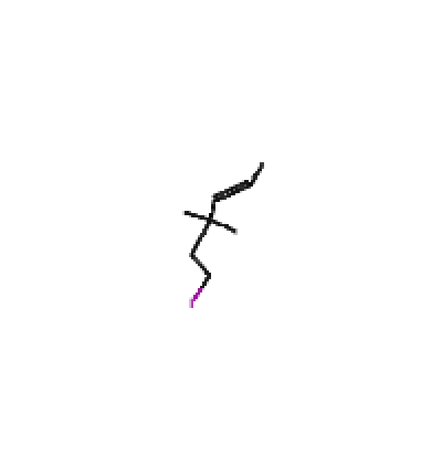 C/C=C/C(C)(C)CCI